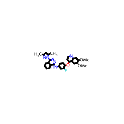 COc1cc2nccc(Oc3ccc(Nc4nnc(-n5nc(C)cc5C)c5ccccc45)cc3F)c2cc1OC